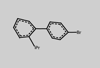 CC(C)c1[c]cccc1-c1ccc(Br)cc1